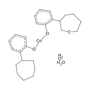 O.O.c1ccc(C2CCCCCC2)c([O][Co][O]c2ccccc2C2CCCCCC2)c1